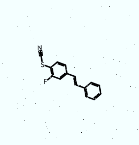 N#CSc1ccc(C=Cc2ccccc2)cc1F